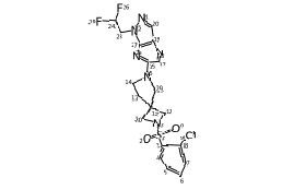 O=S(=O)(c1ccccc1Cl)N1CC2(CCN(c3cnc4cnn(CC(F)F)c4n3)C2)C1